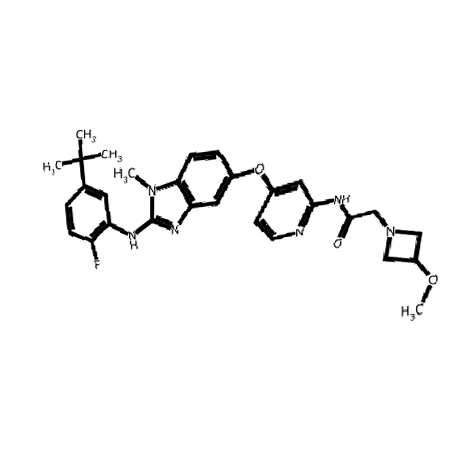 COC1CN(CC(=O)Nc2cc(Oc3ccc4c(c3)nc(Nc3cc(C(C)(C)C)ccc3F)n4C)ccn2)C1